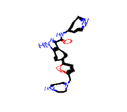 O=C(Nc1ccncc1)c1n[nH]c2ccc(-c3ccc(CN4CCNCC4)o3)cc12